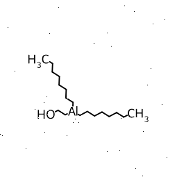 CCCCCCC[CH2][Al]([CH2]CO)[CH2]CCCCCCC